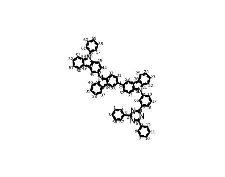 c1ccc(-c2nc(-c3ccccc3)nc(-c3cccc(-n4c5ccccc5c5cc(-c6ccc7c(c6)c6ccccc6n7-c6ccc7c(c6)c6ccccc6n7-c6ccccc6)ccc54)c3)n2)cc1